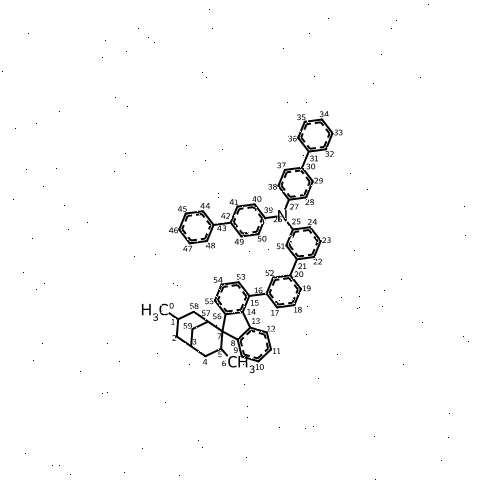 CC1CC2CC(C)C3(c4ccccc4-c4c(-c5cccc(-c6cccc(N(c7ccc(-c8ccccc8)cc7)c7ccc(-c8ccccc8)cc7)c6)c5)cccc43)C(C1)C2